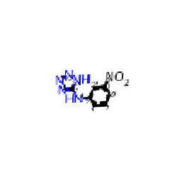 O=[N+]([O-])c1cccc(Nc2nnn[nH]2)c1